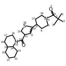 CC(C)(C)C(=O)N1CCC(C2=CC(C(=O)N3CCCC4CCCCC43)CS2)CC1